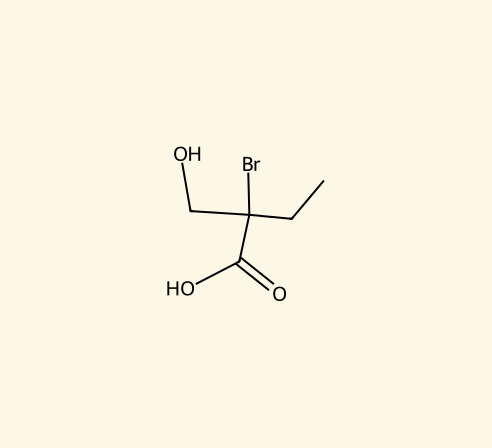 CCC(Br)(CO)C(=O)O